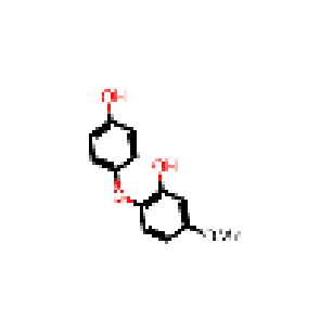 COc1ccc(Oc2ccc(O)cc2)c(O)c1